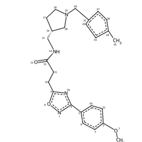 COc1ccc(-c2noc(CCC(=O)NC[C@@H]3CCN(Cc4ccc(C)cc4)C3)n2)cc1